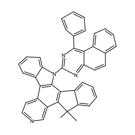 CC1(C)c2ccccc2-c2c1c1cnccc1c1c3ccccc3n(-c3nc(-c4ccccc4)c4c(ccc5ccccc54)n3)c21